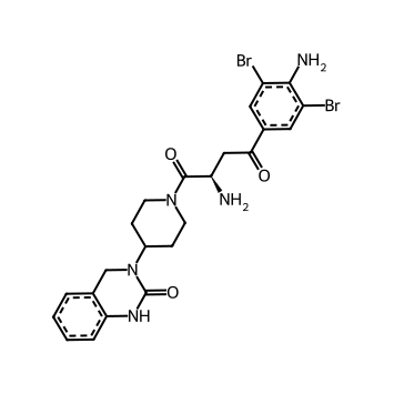 Nc1c(Br)cc(C(=O)C[C@@H](N)C(=O)N2CCC(N3Cc4ccccc4NC3=O)CC2)cc1Br